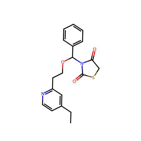 CCc1ccnc(CCOC(c2ccccc2)N2C(=O)CSC2=O)c1